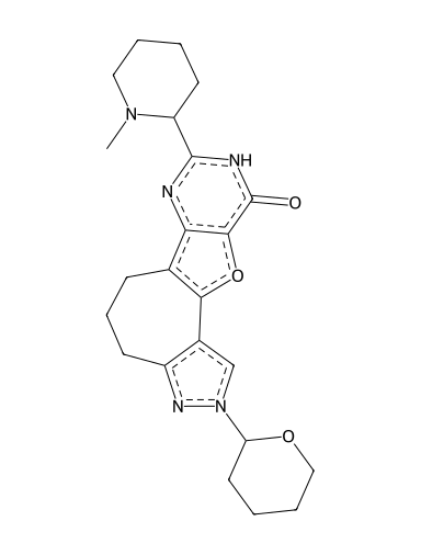 CN1CCCCC1c1nc2c3c(oc2c(=O)[nH]1)-c1cn(C2CCCCO2)nc1CCC3